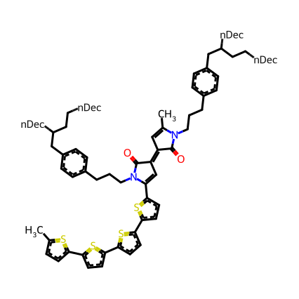 CCCCCCCCCCCCC(CCCCCCCCCC)Cc1ccc(CCCN2C(=O)/C(=C3\C=C(c4ccc(-c5ccc(-c6ccc(-c7ccc(C)s7)s6)s5)s4)N(CCCc4ccc(CC(CCCCCCCCCC)CCCCCCCCCCCC)cc4)C3=O)C=C2C)cc1